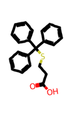 O=C(O)CCSC(c1ccccc1)(c1ccccc1)c1ccccc1